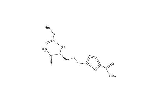 COC(=O)c1ccc(COC[C@H](NC(=O)OC(C)(C)C)C(N)=O)o1